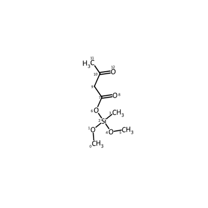 CO[Si](C)(OC)OC(=O)CC(C)=O